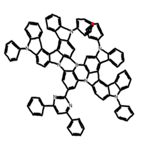 c1ccc(-c2cc(-c3ccccc3)nc(-c3cc4c5c(c3)-n3c6ccc7c(c8ccccc8n7-c7ccccc7)c6c6c7c8ccccc8n(-c8ccccc8)c7cc(c63)B5c3cc5c(c6ccccc6n5-c5ccccc5)c5c6c7c8ccccc8n(-c8ccccc8)c7ccc6n-4c35)n2)cc1